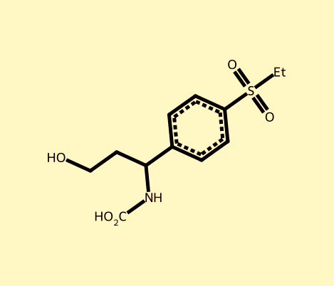 CCS(=O)(=O)c1ccc(C(CCO)NC(=O)O)cc1